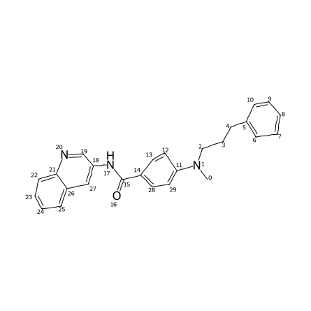 CN(CCCc1ccccc1)c1ccc(C(=O)Nc2cnc3ccccc3c2)cc1